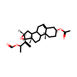 C=C(C(C)O[C]=O)[C@@]12O[C@@H]1CC1C3CC=C4C[C@@H](OC(C)=O)CC[C@]4(C)C3CC[C@@]12C